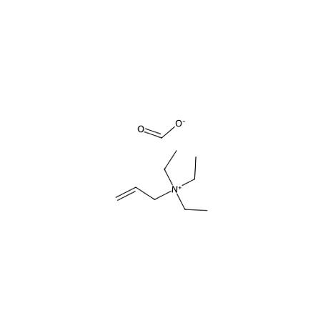 C=CC[N+](CC)(CC)CC.O=C[O-]